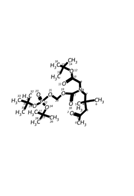 CC(=O)CC(C)(C)CN(CC(=O)OC(C)(C)C)C(=O)OCOP(=O)(OC(C)(C)C)OC(C)(C)C